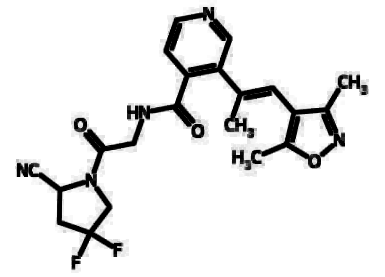 CC(=Cc1c(C)noc1C)c1cnccc1C(=O)NCC(=O)N1CC(F)(F)CC1C#N